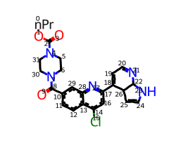 CCCOC(=O)N1CCN(C(=O)c2ccc3c(Cl)cc(C4=CC=NC5NC=CC45)nc3c2)CC1